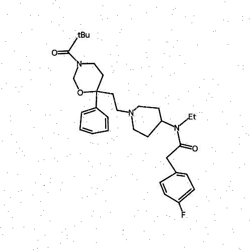 CCN(C(=O)Cc1ccc(F)cc1)C1CCN(CCC2(c3ccccc3)CCN(C(=O)C(C)(C)C)CO2)CC1